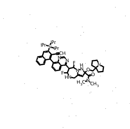 C#Cc1c([Si](C(C)C)(C(C)C)C(C)C)cc2ccccc2c1-c1cccc2c(C3C(F)NCC4=CC(OCC56CCCN5CCC6)(C(=O)N(C)C)NN4C3F)ncnc12